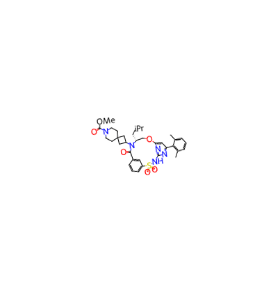 COC(=O)N1CCC2(CC1)CC(N1C(=O)c3cccc(c3)S(=O)(=O)Nc3nc(cc(-c4c(C)cccc4C)n3)OC[C@H]1CC(C)C)C2